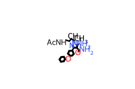 CC(=O)NCC[C@H](C)C(C)n1nc(-c2ccc(Oc3ccccc3)cc2)c(C(N)=O)c1N